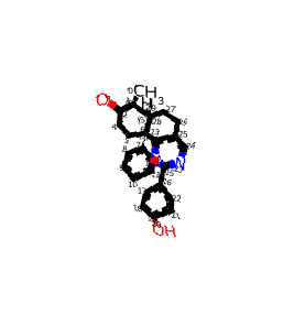 C[C@@H]1C(=O)CC[C@]2(c3ccccc3)c3nc(-c4ccc(O)cc4)ncc3CC[C@@H]12